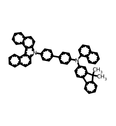 CC1(C)c2ccccc2-c2ccc(N(c3ccc(-c4ccc(-n5c6ccc7ccccc7c6c6c7ccccc7ccc65)cc4)cc3)c3cccc4ccccc34)cc21